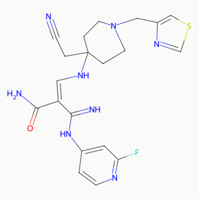 N#CCC1(N/C=C(\C(=N)Nc2ccnc(F)c2)C(N)=O)CCN(Cc2cscn2)CC1